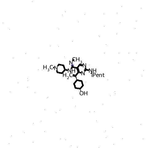 C=C(c1nc(NC(C)CCC)ncc1/C(=N\C)NC1CCN(C)CC1)[C@H]1CC[C@H](O)CC1